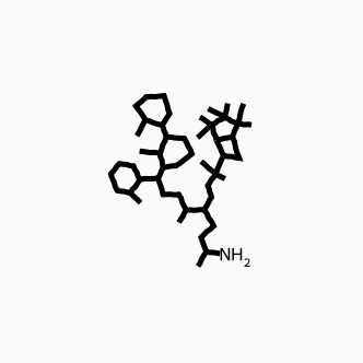 CC(N)CCC(CCC(C)(C)C1CC2C1C(C)(C)C(C)(C)C2(C)C)C(C)CCC(C1CCCCC1C)C1CCCC(C2CCCCC2C)C1C